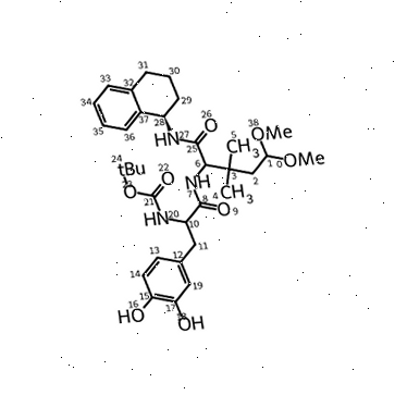 COC(CC(C)(C)C(NC(=O)C(Cc1ccc(O)c(O)c1)NC(=O)OC(C)(C)C)C(=O)N[C@@H]1CCCc2ccccc21)OC